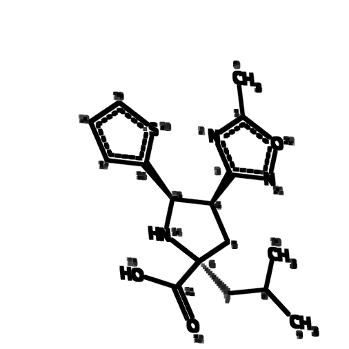 Cc1nc([C@H]2C[C@@](CC(C)C)(C(=O)O)N[C@H]2c2cccs2)no1